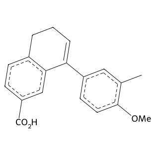 COc1ccc(C2=CCCc3ccc(C(=O)O)cc32)cc1C